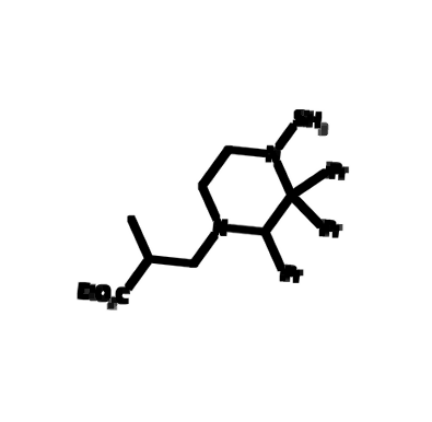 CCOC(=O)C(C)CN1CCN([SiH3])C(C(C)C)(C(C)C)C1C(C)C